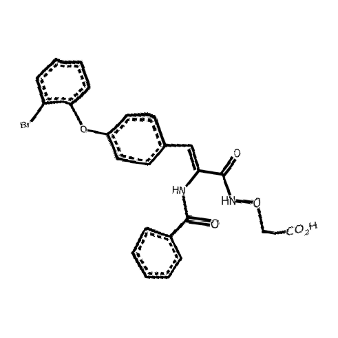 O=C(O)CONC(=O)C(=Cc1ccc(Oc2ccccc2Br)cc1)NC(=O)c1ccccc1